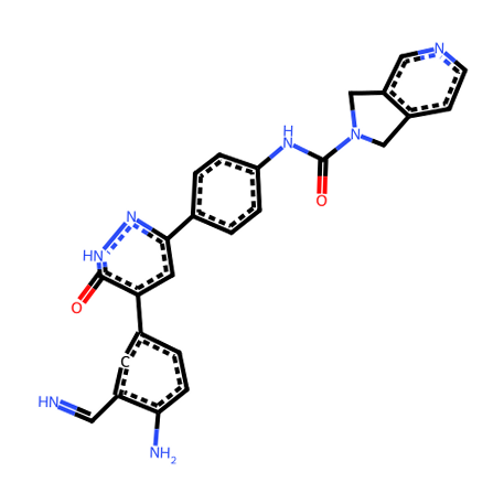 N=Cc1cc(-c2cc(-c3ccc(NC(=O)N4Cc5ccncc5C4)cc3)n[nH]c2=O)ccc1N